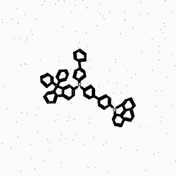 c1ccc(-c2ccc(N(c3ccc(-c4ccc(-n5c6cccc7ccc8cccc5c8c76)cc4)cc3)c3ccc4c(c3)C(c3ccccc3)(c3ccccc3)c3ccccc3-4)cc2)cc1